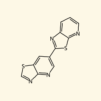 c1cnc2sc(-c3cnc4ncsc4c3)nc2c1